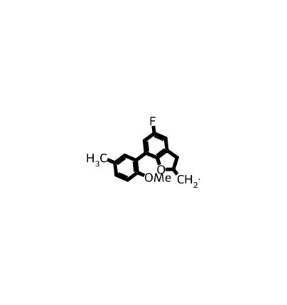 [CH2]C1Cc2cc(F)cc(-c3cc(C)ccc3OC)c2O1